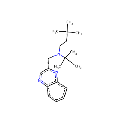 CC(C)(C)CCN(Cc1cnc2ccccc2n1)C(C)(C)C